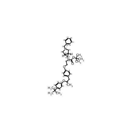 C[C@H](Cc1ccc(OCCN(C(=O)OC(C)(C)C)[C@H]2[C@@H]3CN(Cc4ccccc4)C[C@@H]32)cc1)Oc1ccc(C(C)(C)C)cc1